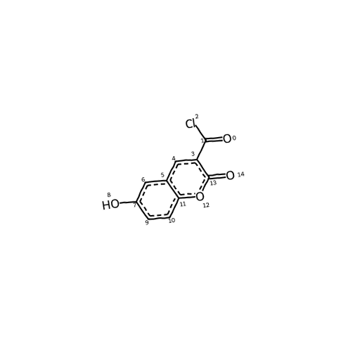 O=C(Cl)c1cc2cc(O)ccc2oc1=O